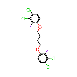 Clc1ccc(OCCCCOc2ccc(Cl)c(Cl)c2I)c(I)c1Cl